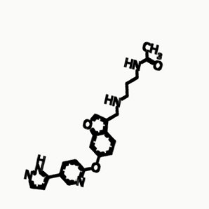 CC(=O)NCCCNCc1coc2cc(Oc3ccc(-c4ccn[nH]4)cn3)ccc12